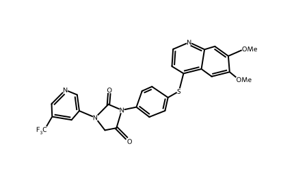 COc1cc2nccc(Sc3ccc(N4C(=O)CN(c5cncc(C(F)(F)F)c5)C4=O)cc3)c2cc1OC